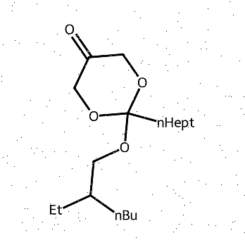 CCCCCCCC1(OCC(CC)CCCC)OCC(=O)CO1